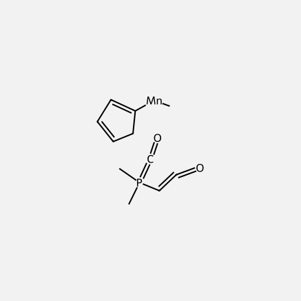 CP(C)(=C=O)C=C=O.[CH3][Mn][C]1=CC=CC1